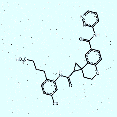 N#Cc1ccc(CCCC(=O)O)c(NC(=O)C2CC23CCOc2ccc(C(=O)Nc4cccnn4)cc23)c1